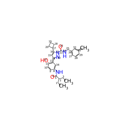 CCC(CC)C(=O)Nc1ccc(O)c(-c2cc(C3CCC3)n(C(=O)NCc3cccc(C)c3)n2)c1